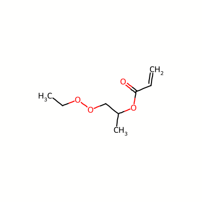 C=CC(=O)OC(C)COOCC